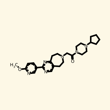 COc1ccc(-c2ncc3c(n2)CCN(CC(=O)N2CCN(C4CCCC4)CC2)CC3)cn1